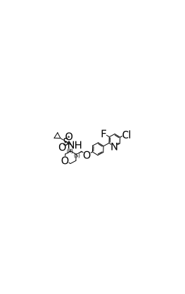 O=S(=O)(N[C@H]1COCC[C@@H]1COc1ccc(-c2ncc(Cl)cc2F)cc1)C1CC1